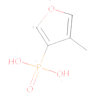 Cc1cocc1P(=O)(O)O